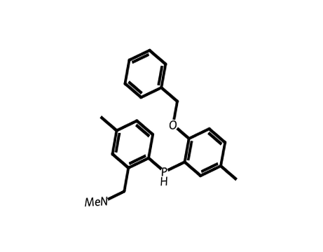 CNCc1cc(C)ccc1Pc1cc(C)ccc1OCc1ccccc1